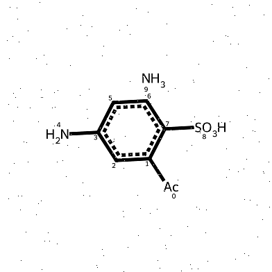 CC(=O)c1cc(N)ccc1S(=O)(=O)O.N